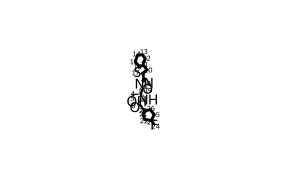 O=C(N[C@@H](CO)c1nc(-c2cc3ccccc3s2)no1)c1ccc(F)cc1